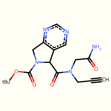 C#CCN(CC(N)=O)C(=O)C1c2cncnc2CN1C(=O)OC(C)(C)C